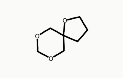 C1COC2(C1)COCOC2